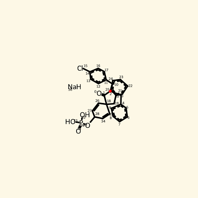 O=C(C(Cc1ccccc1)Cc1ccc(Cl)cc1)C1(Cc2ccccc2)C=CC(OP(=O)(O)O)C=C1.[NaH]